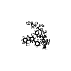 C=C[C@@H]1C[C@]1(NC(=O)[C@@H]1C[C@@H](Oc2cc(-c3ccccc3)nc3c2sc2cccc(Cl)c23)CN1C(=O)[C@@H](NC(=O)OC(C)(C)C)C(C)(C)C)C(=O)NS(=O)(=O)C1CC1